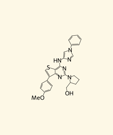 COc1ccc(-c2csc3c(Nc4cn(-c5ccccc5)cn4)nc(N4CCCC4CO)nc23)cc1